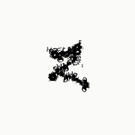 CC[C@@]1(O)C(=O)OCc2c1cc1n(c2=O)Cc2c-1nc1cc(F)c(C)c3c1c2[C@@H](N(C)C(=O)[C@@H](OCNC(=O)CNC(=O)[C@H](Cc1ccccc1)NC(=O)CNC(=O)CNC(=O)CCCCCN1C(=O)C=CC1=O)C(F)(F)F)CC3